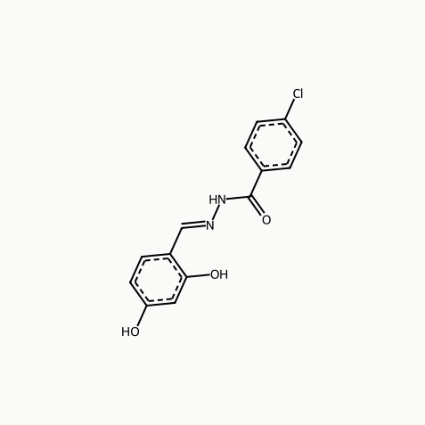 O=C(N/N=C/c1ccc(O)cc1O)c1ccc(Cl)cc1